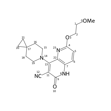 COCCOc1ccc2[nH]c(=O)c(C#N)c(N3CCC4(CC3)CC4)c2n1